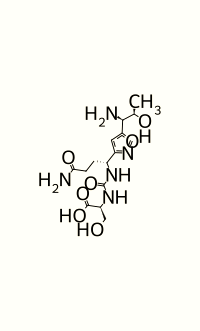 C[C@@H](O)[C@H](N)c1cc([C@@H](CCC(N)=O)NC(=O)N[C@@H](CO)C(=O)O)no1